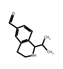 CC(C)C1NCCc2cc(C=O)ccc21